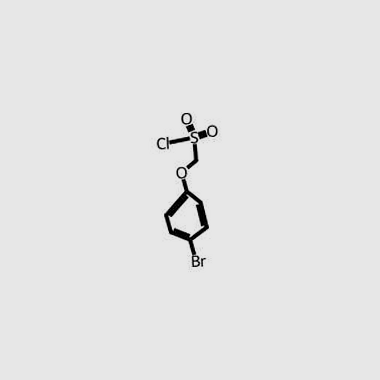 O=S(=O)(Cl)COc1ccc(Br)cc1